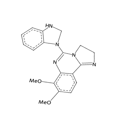 COc1ccc2c(c1OC)N=C(N1CNc3ccccc31)N1CCN=C21